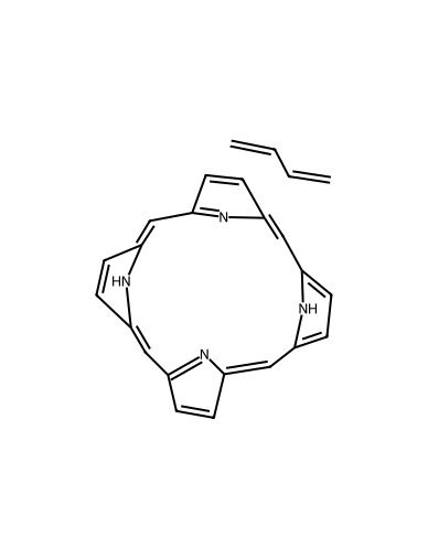 C1=Cc2cc3ccc(cc4nc(cc5ccc(cc1n2)[nH]5)C=C4)[nH]3.C=CC=C